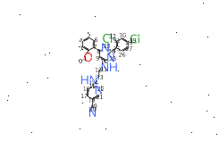 COc1ccccc1-c1cc(NCCNc2ccc(C#N)cn2)nc(-c2ccc(Cl)cc2Cl)n1